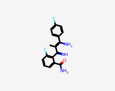 C/C(C(=N)c1c(F)cccc1C(N)=O)=C(/N)c1ccc(F)cc1